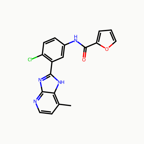 Cc1ccnc2nc(-c3cc(NC(=O)c4ccco4)ccc3Cl)[nH]c12